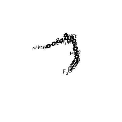 CCCCCCOc1ccc(-c2ccc(C(=O)OC3CCN(c4cc5c(c6ccccc46)N=CC4(O5)N(CC)c5ccc(OCc6ccc(C(=O)Nc7ccc(OC(F)(F)C(F)(F)C(F)(F)C(F)(F)C(F)(F)C(F)(F)C(F)(F)F)cc7)cc6)cc5C4(C)CC)CC3)cc2)cc1